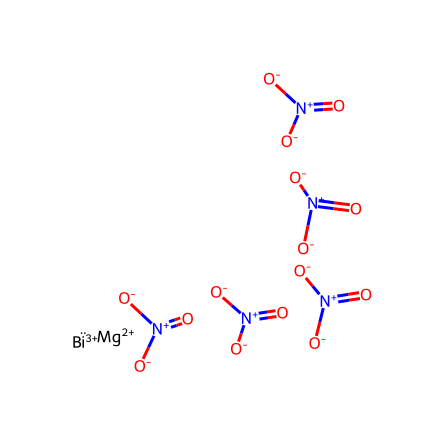 O=[N+]([O-])[O-].O=[N+]([O-])[O-].O=[N+]([O-])[O-].O=[N+]([O-])[O-].O=[N+]([O-])[O-].[Bi+3].[Mg+2]